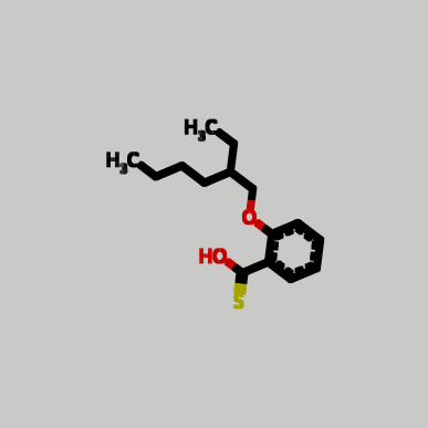 CCCCC(CC)COc1ccccc1C(O)=S